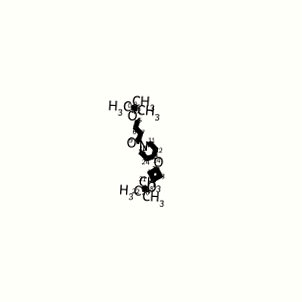 CC(C)(C)OCCCC(=O)N1CCC(OC2CC(OC(C)(C)C)C2)CC1